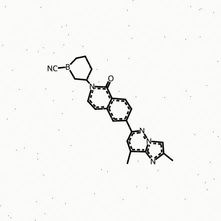 Cc1cn2nc(-c3ccc4c(=O)n(C5CCCB(C#N)C5)ccc4c3)cc(C)c2n1